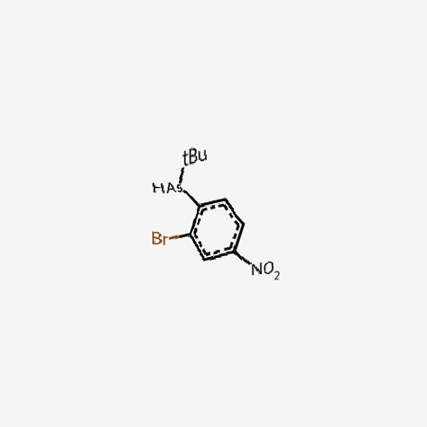 CC(C)(C)[AsH]c1ccc([N+](=O)[O-])cc1Br